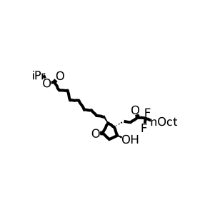 CCCCCCCCC(F)(F)C(=O)CC[C@H]1[C@H](CCCCCCCCC(=O)OC(C)C)C(=O)C[C@@H]1O